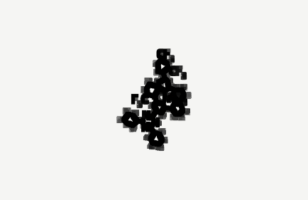 FC(F)(F)c1ccc(-c2ccc3c(c2)c2ccccc2n3-c2c(-c3ccccc3C(F)(F)F)cc(-c3nc(-c4ccccc4)nc(-c4ccccc4)n3)cc2-c2ccccc2C(F)(F)F)c(C(F)(F)F)c1